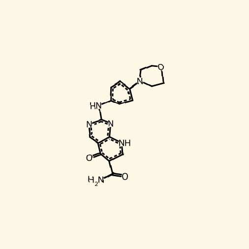 NC(=O)c1c[nH]c2nc(Nc3ccc(N4CCOCC4)cc3)ncc2c1=O